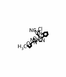 Cc1ccc(-c2noc(N3CN=C4c5ccccc5N5C(=CN(C#N)C5Cl)N43)n2)o1